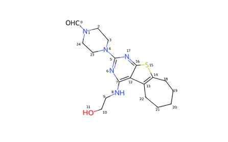 O=CN1CCN(c2nc(NCCO)c3c4c(sc3n2)CCCCC4)CC1